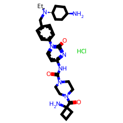 CCN(Cc1ccc(-n2ccc(NC(=O)N3CCN(C(=O)C4(N)CCC4)CC3)nc2=O)cc1)[C@H]1CC[C@H](N)CC1.Cl